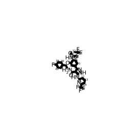 CC(Oc1cc(-c2n[nH]c(Nc3cccc(C(F)(F)F)n3)c2C(N)=O)ccc1NS(=O)(=O)CC(F)(F)F)c1ccc(F)cc1